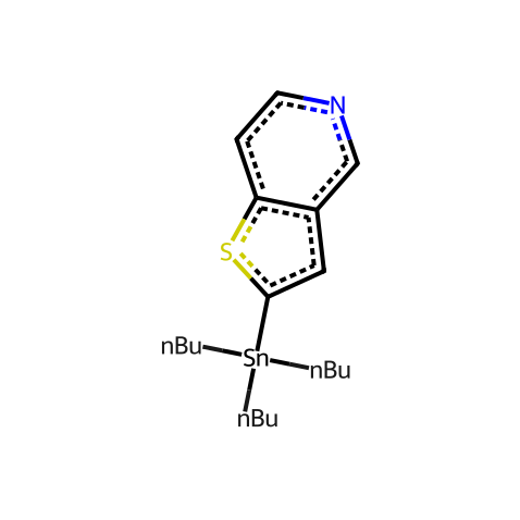 CCC[CH2][Sn]([CH2]CCC)([CH2]CCC)[c]1cc2cnccc2s1